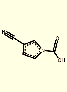 N#Cc1ccn(C(=O)O)c1